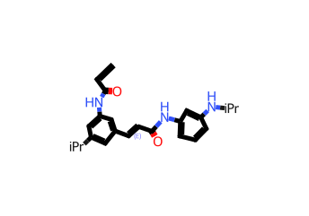 C=CC(=O)Nc1cc(/C=C/C(=O)Nc2cccc(NC(C)C)c2)cc(C(C)C)c1